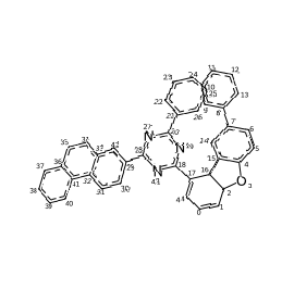 C1=CC2Oc3ccc(-c4ccccc4)cc3C2C(c2nc(-c3ccccc3)nc(-c3ccc4c(ccc5ccccc54)c3)n2)=C1